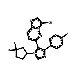 N#Cc1cnc2ccc(-c3c(-c4ccc(F)cc4)ncn3C3CCC(F)(F)C3)nn12